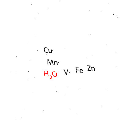 O.[Cu].[Fe].[Mn].[V].[Zn]